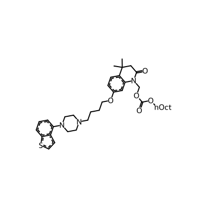 CCCCCCCCOC(=O)OCN1C(=O)CC(C)(C)c2ccc(OCCCCN3CCN(c4cccc5sccc45)CC3)cc21